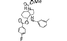 COC(=O)N1CC[C@@H]2[C@H]1CCC[C@]2(C#Cc1cccc(C)c1)OC(=O)c1ccc(F)cc1